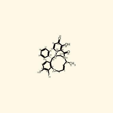 C[C@H]1/C=C/COc2c(ccc(F)c2F)[C@H](c2ccccc2)N2CN1C(=O)c1c(O)c(=O)ccn12